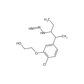 CCC(NN=N)C(C)c1ccc(Cl)c(OCCO)c1